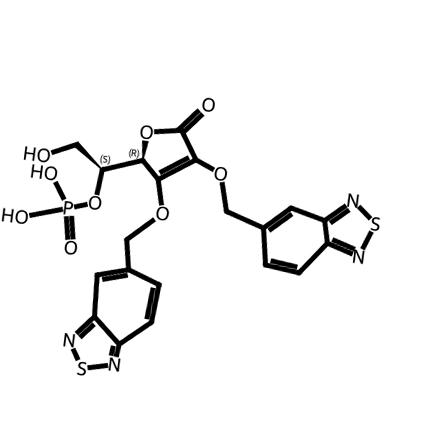 O=C1O[C@H]([C@H](CO)OP(=O)(O)O)C(OCc2ccc3nsnc3c2)=C1OCc1ccc2nsnc2c1